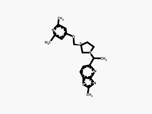 Cc1cc(OC[C@H]2CCN(C(C)c3ccc4sc(C)nc4n3)C2)cc(C)n1